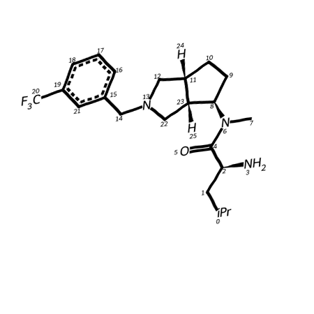 CC(C)C[C@H](N)C(=O)N(C)[C@@H]1CC[C@H]2CN(Cc3cccc(C(F)(F)F)c3)C[C@H]21